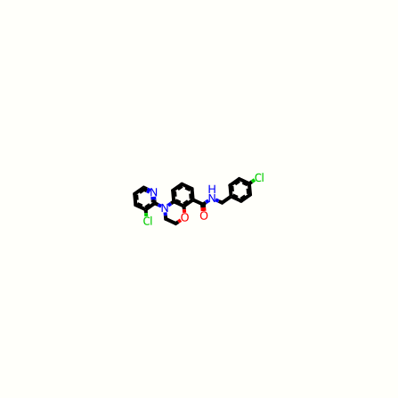 O=C(NCc1ccc(Cl)cc1)c1cccc2c1OCCN2c1ncccc1Cl